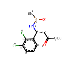 CC(C)COC(=O)C[C@@H](N[S+]([O-])C(C)(C)C)c1cccc(Cl)c1F